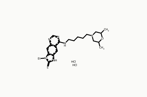 CCn1c(=S)[nH]c2cc3c(NCCCCCN4CC(C)OC(C)C4)ncnc3cc21.Cl.Cl